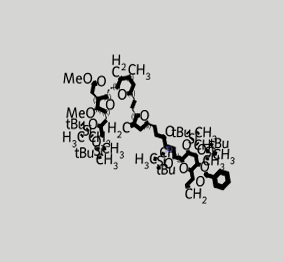 C=CCC1OC([C@H](/C=C/C(=O)CC[C@H]2CC(=C)[C@H](CC[C@H]3C[C@@H](C)C(=C)[C@@H](C[C@@H]4O[C@H](CC(CO[Si](C)(C)C(C)(C)C)O[Si](C)(C)C(C)(C)C)[C@H](OC)[C@H]4CC(=O)OC)O3)O2)O[Si](C)(C)C(C)(C)C)C(O[Si](C)(C)C(C)(C)C)C(O[Si](C)(C)C(C)(C)C)C1OC(=O)c1ccccc1